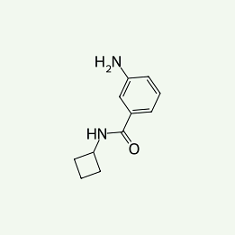 Nc1cccc(C(=O)NC2CCC2)c1